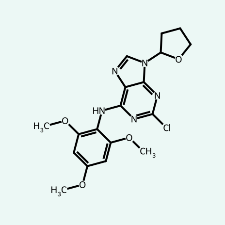 COc1cc(OC)c(Nc2nc(Cl)nc3c2ncn3C2CCCO2)c(OC)c1